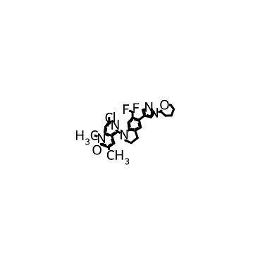 Cc1cc2c(N3CCCc4cc(-c5cnn(C6CCCCO6)c5)c(C(F)F)cc43)nc(Cl)cc2n(C)c1=O